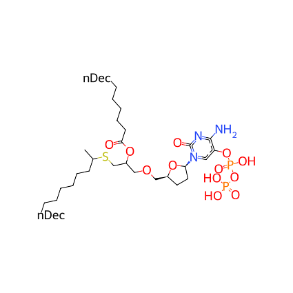 CCCCCCCCCCCCCCCCC(C)SCC(COC[C@@H]1CC[C@H](n2cc(OP(=O)(O)OP(=O)(O)O)c(N)nc2=O)O1)OC(=O)CCCCCCCCCCCCCCC